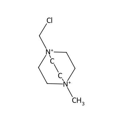 C[N+]12CC[N+](CCl)(CC1)CC2